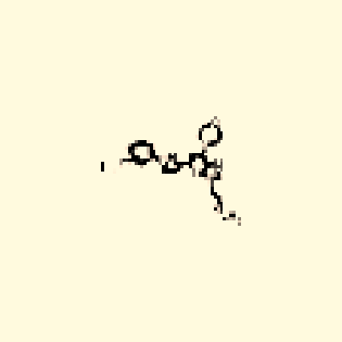 COCCn1cnc2c(N3CCOCC3)cc(-c3ccn(-c4cccc(C)c4)n3)nc21